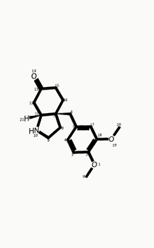 COc1ccc(C[C@@]23CCN[C@@H]2CC(=O)CC3)cc1OC